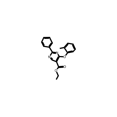 CCOC(=O)c1cnc(-c2ccccc2)nc1Oc1ccccc1C